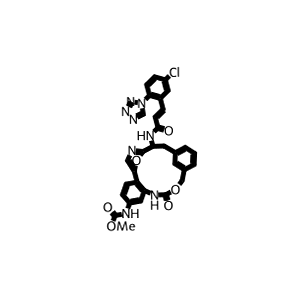 COC(=O)Nc1ccc2c(c1)NC(=O)OCc1cccc(c1)CC(NC(=O)/C=C/c1cc(Cl)ccc1-n1cnnn1)c1ncc-2o1